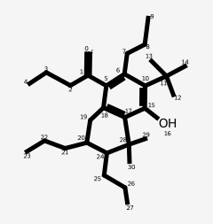 [C]=C(CCC)c1c(CCC)c(C(C)(C)C)c(O)c2c1CC(CCC)C(CCC)C2(C)C